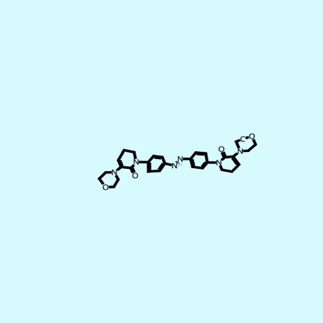 O=C1C(N2CCOCC2)=CCCN1c1ccc(/N=N/c2ccc(N3CCC=C(N4CCOCC4)C3=O)cc2)cc1